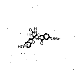 COc1ccc2c(c1)C(=O)N(C[C@@]1(c3cc4c[n+](O)ccc4o3)NC(=O)NC1=O)C2